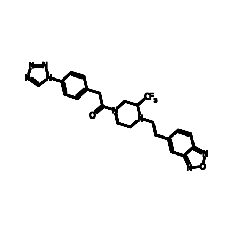 O=C(Cc1ccc(-n2cnnn2)cc1)N1CCN(CCc2ccc3nonc3c2)C(C(F)(F)F)C1